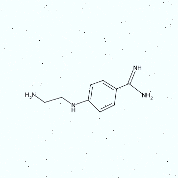 N=C(N)c1ccc(NCCN)cc1